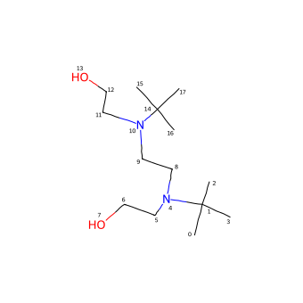 CC(C)(C)N(CCO)CCN(CCO)C(C)(C)C